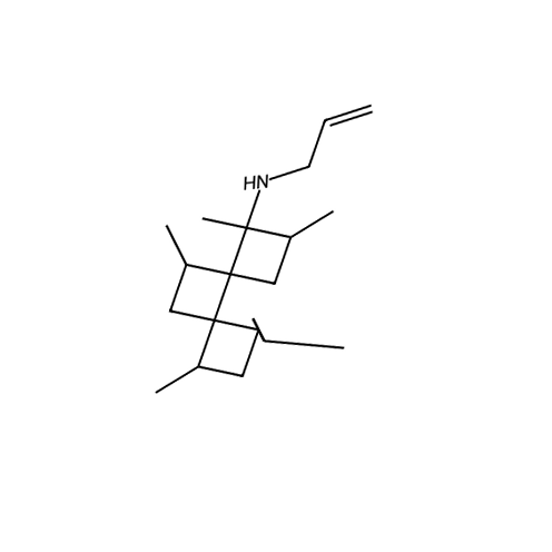 C=CCNC1(C)C(C)CC12C(C)CC21C(C)CC12CC2C